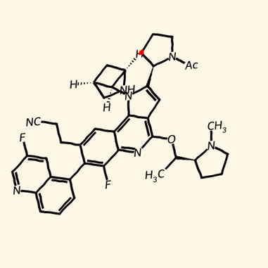 CC(=O)N1CCC[C@@H]1c1cc2c(OC(C)[C@@H]3CCCN3C)nc3c(F)c(-c4cccc5ncc(F)cc45)c(CCC#N)cc3c2n1[C@H]1[C@H]2CN[C@@H]1C2